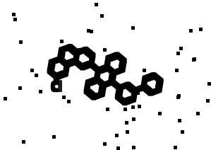 Clc1ccc2ccc3ccc(-c4c5ccccc5c(-c5cccc(-c6ccccc6)c5)c5ccccc45)cc3c2c1